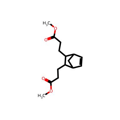 COC(=O)CCC1C2C=CC(C2)C1CCC(=O)OC